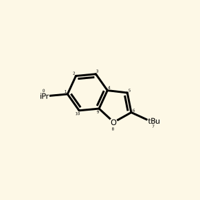 CC(C)c1ccc2cc(C(C)(C)C)oc2c1